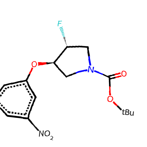 CC(C)(C)OC(=O)N1C[C@@H](F)[C@H](Oc2cccc([N+](=O)[O-])c2)C1